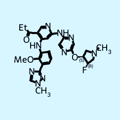 CCC(=O)c1cnc(Nc2cnc(O[C@H]3CN(C)C[C@H]3F)cn2)cc1Nc1cccc(-c2ncn(C)n2)c1OC